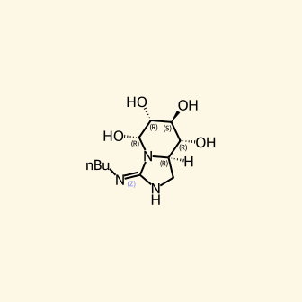 CCCC/N=C1/NC[C@@H]2[C@@H](O)[C@H](O)[C@@H](O)[C@@H](O)N12